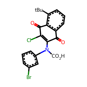 CC(C)(C)c1cccc2c1C(=O)C(Cl)=C(N(C(=O)O)c1cccc(Br)c1)C2=O